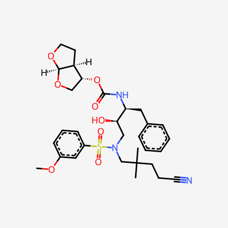 COc1cccc(S(=O)(=O)N(C[C@@H](O)[C@H](Cc2ccccc2)NC(=O)O[C@@H]2CO[C@H]3OCC[C@H]32)CC(C)(C)CCC#N)c1